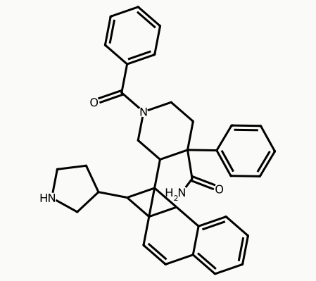 NC(=O)C1(c2ccccc2)CCN(C(=O)c2ccccc2)CC1C12C3c4ccccc4C=CC31C2C1CCNC1